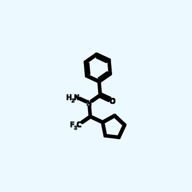 NN(C(=O)c1ccccc1)C(C1CCCC1)C(F)(F)F